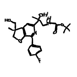 CC(C)(C)OC(=O)NCC(C)(O)c1cc2c(c(-c3ccc(F)cc3)n1)OC[C@]2(C)CO